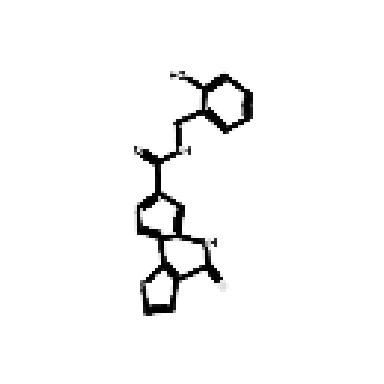 O=C(NCc1ccccc1O)c1ccc2c(c1)[nH]c(=O)c1ccsc12